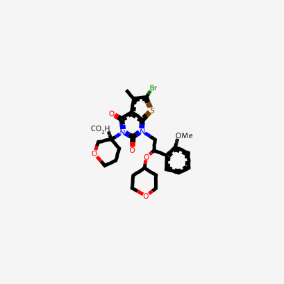 COc1ccccc1C(Cn1c(=O)n(C2(C(=O)O)CCCOC2)c(=O)c2c(C)c(Br)sc21)OC1CCOCC1